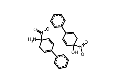 NC1([N+](=O)[O-])C=CC(c2ccccc2)=CC1.O=[N+]([O-])C1(O)C=CC(c2ccccc2)=CC1